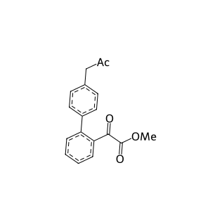 COC(=O)C(=O)c1ccccc1-c1ccc(CC(C)=O)cc1